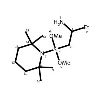 CCC(N)C[Si](OC)(OC)N1C(C)(C)CCCC1(C)C